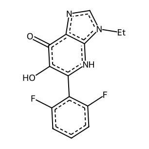 CCn1cnc2c(=O)c(O)c(-c3c(F)cccc3F)[nH]c21